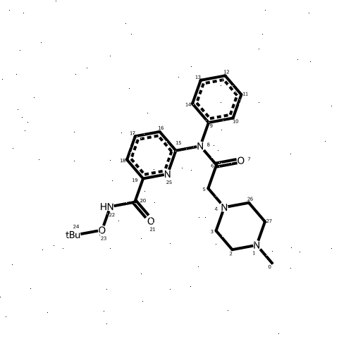 CN1CCN(CC(=O)N(c2ccccc2)c2cccc(C(=O)NOC(C)(C)C)n2)CC1